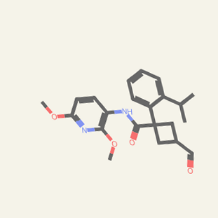 COc1ccc(NC(=O)C2(c3ccccc3C(C)C)CC(C=O)C2)c(OC)n1